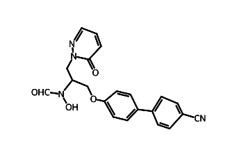 N#Cc1ccc(-c2ccc(OCC(Cn3ncccc3=O)N(O)C=O)cc2)cc1